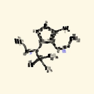 C/C=C\c1c(N)noc1/C(=N\C)C(C)(C)CC